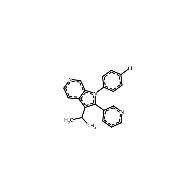 CC(C)c1c(-c2cccnc2)n(-c2ccc(Cl)cc2)c2cnccc12